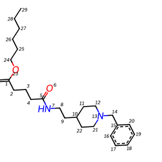 C=C(CCCC(=O)NCCC1CCN(Cc2ccccc2)CC1)OCCCCCC